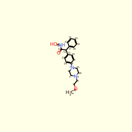 COCCN1CCN(c2ccc(C(C(=O)NO)c3ccccc3)cc2)CC1